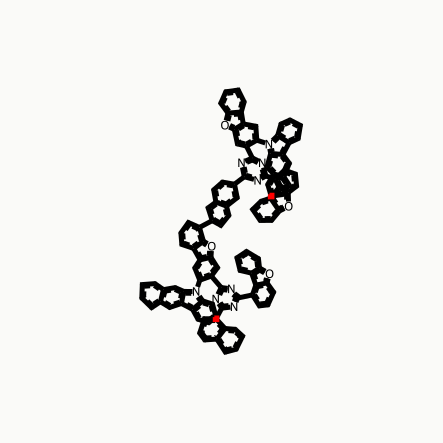 c1ccc2cc3c(cc2c1)c1ccccc1n3-c1cc2c(cc1-c1nc(-c3ccc4cc(-c5cccc6c5oc5cc(-c7nc(-c8cccc9ccccc89)nc(-c8cccc9oc%10ccccc%10c89)n7)c(-n7c8ccccc8c8cc9ccccc9cc87)cc56)ccc4c3)nc(-c3cccc4oc5ccccc5c34)n1)oc1ccccc12